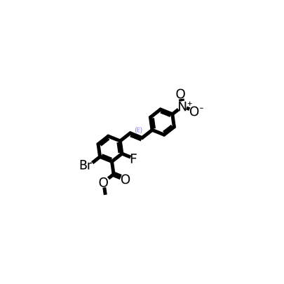 COC(=O)c1c(Br)ccc(/C=C/c2ccc([N+](=O)[O-])cc2)c1F